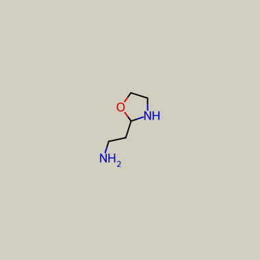 NCCC1NCCO1